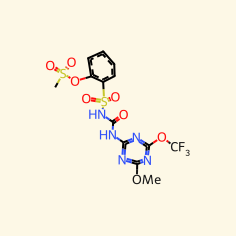 COc1nc(NC(=O)NS(=O)(=O)c2ccccc2OS(C)(=O)=O)nc(OC(F)(F)F)n1